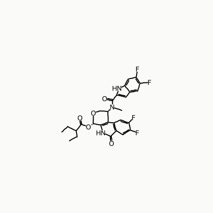 CCC(CC)C(=O)O[C@@H]1OC[C@@H](N(C)C(=O)c2cc3cc(F)c(F)cc3[nH]2)c2c1[nH]c(=O)c1cc(F)c(F)cc21